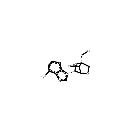 Nc1ccnc2c1ncn2[C@@H]1O[C@@]2(CO)COC1[C@@H]2O